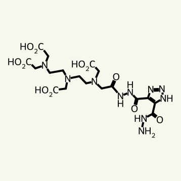 NNC(=O)c1[nH]nnc1C(=O)NNC(=O)CN(CCN(CCN(CC(=O)O)CC(=O)O)CC(=O)O)CC(=O)O